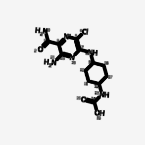 NC(=O)c1nc(Cl)c(NC2CCC(NC(=O)O)CC2)nc1N